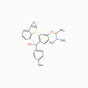 CC(=O)Oc1ccc(C(O)c2ccc(OC(C)N(C)C)cc2)cc1.c1ccc2c3c(sc2c1)C3